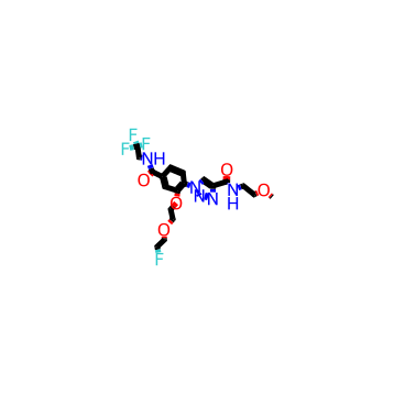 COCCNC(=O)c1cn(-c2ccc(C(=O)NCC(F)(F)F)cc2OCCOCCF)nn1